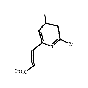 CCOC(=O)/C=C/C1=CC(C)CC(Br)=N1